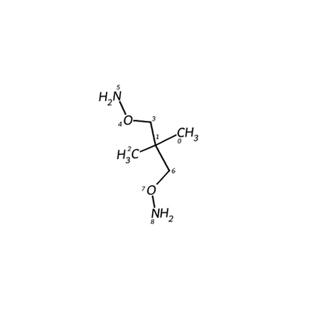 CC(C)(CON)CON